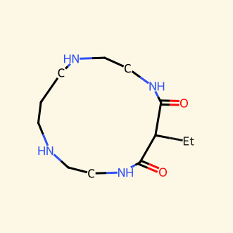 CCC1C(=O)NCCNCCCNCCNC1=O